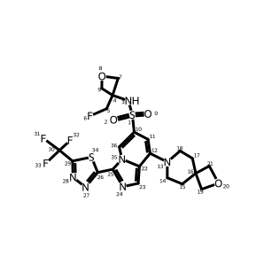 O=S(=O)(NC1(CF)COC1)c1cc(N2CCC3(CC2)COC3)c2cnc(-c3nnc(C(F)(F)F)s3)n2c1